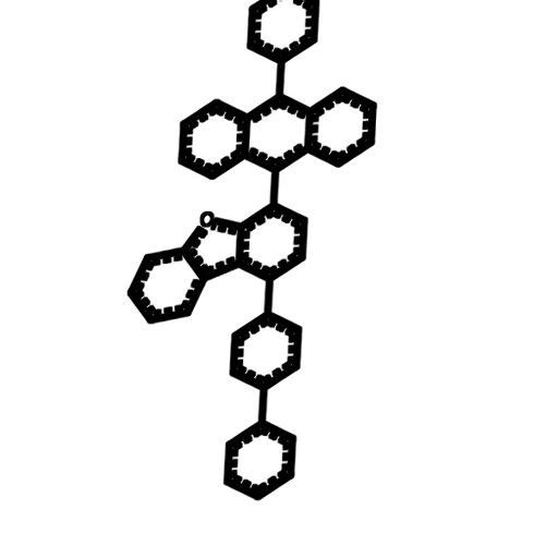 c1ccc(-c2ccc(-c3ccc(-c4c5ccccc5c(-c5ccccc5)c5ccccc45)c4oc5ccccc5c34)cc2)cc1